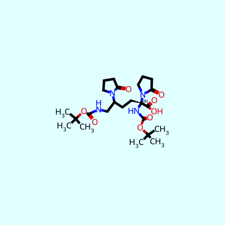 CC(C)(C)OC(=O)NCC(CC[C@](NC(=O)OC(C)(C)C)(C(=O)O)N1CCCC1=O)N1CCCC1=O